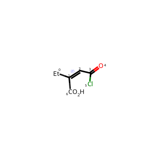 CC/C(=C/C(=O)Cl)C(=O)O